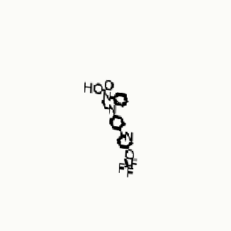 O=C(O)N1CCN(c2ccc(-c3ccc(OCC(F)(F)F)cn3)cc2)c2ccccc21